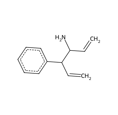 C=CC(N)C(C=C)c1ccccc1